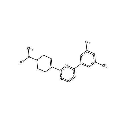 CB(O)N1CC=C(c2nccc(-c3cc(C(F)(F)F)cc(C(F)(F)F)c3)n2)CC1